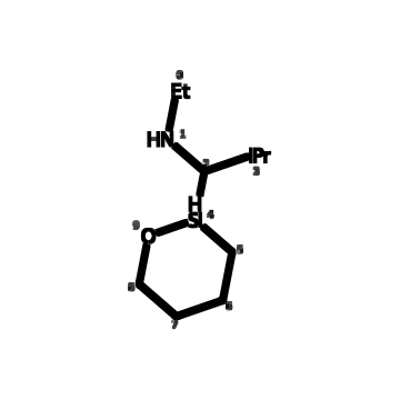 CCNC(C(C)C)[SiH]1CCCCO1